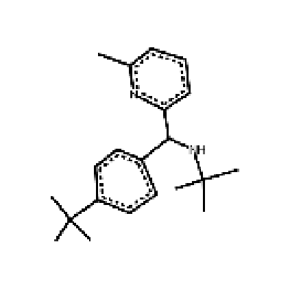 Cc1cccc(C(NC(C)(C)C)c2ccc(C(C)(C)C)cc2)n1